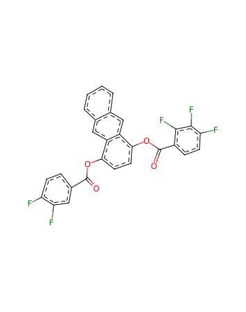 O=C(Oc1ccc(OC(=O)c2ccc(F)c(F)c2F)c2cc3ccccc3cc12)c1ccc(F)c(F)c1